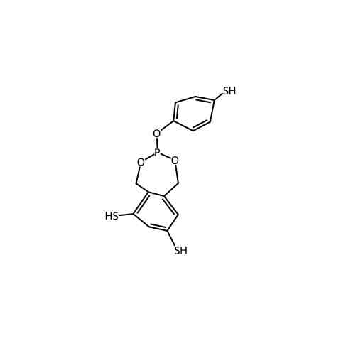 Sc1ccc(OP2OCc3cc(S)cc(S)c3CO2)cc1